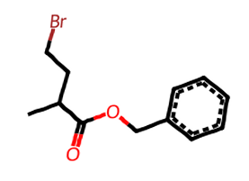 CC(CCBr)C(=O)OCc1ccccc1